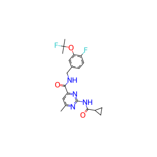 Cc1cc(C(=O)NCc2ccc(F)c(OC(C)(C)F)c2)nc(NC(=O)C2CC2)n1